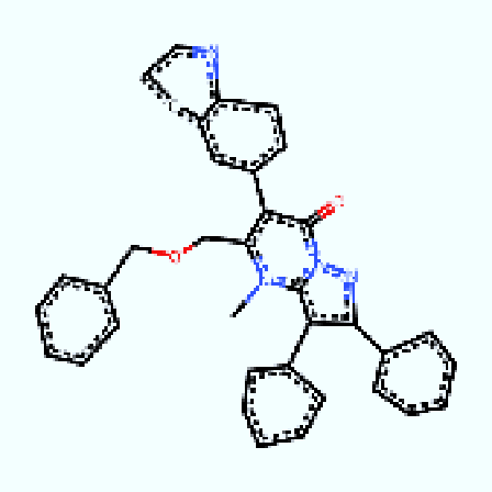 Cn1c(COCc2ccccc2)c(-c2ccc3ncccc3c2)c(=O)n2nc(-c3ccccc3)c(-c3ccccc3)c12